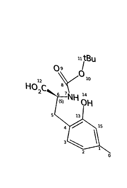 Cc1ccc(C[C@H](NC(=O)OC(C)(C)C)C(=O)O)c(O)c1